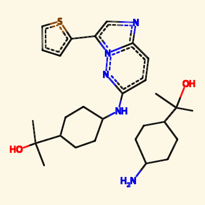 CC(C)(O)C1CCC(N)CC1.CC(C)(O)C1CCC(Nc2ccc3ncc(-c4cccs4)n3n2)CC1